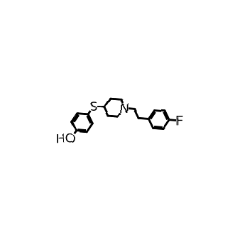 Oc1ccc(SC2CCN(CCc3ccc(F)cc3)CC2)cc1